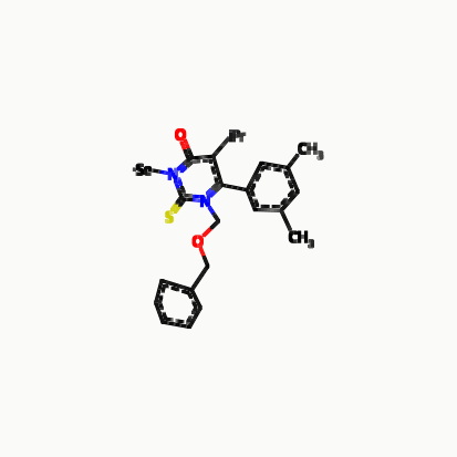 Cc1cc(C)cc(-c2c(C(C)C)c(=O)n([Se])c(=S)n2COCc2ccccc2)c1